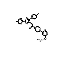 COc1cc(N2CCN(C(=O)Cn3nc(-c4ccc(F)cn4)nc3-c3ccc(F)cc3)CC2)ncn1